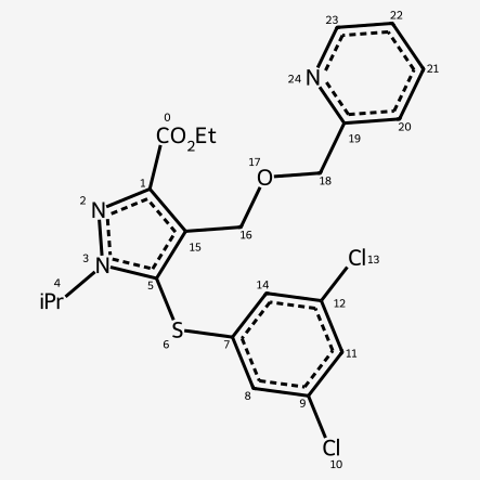 CCOC(=O)c1nn(C(C)C)c(Sc2cc(Cl)cc(Cl)c2)c1COCc1ccccn1